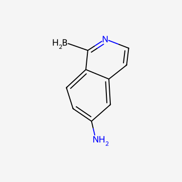 Bc1nccc2cc(N)ccc12